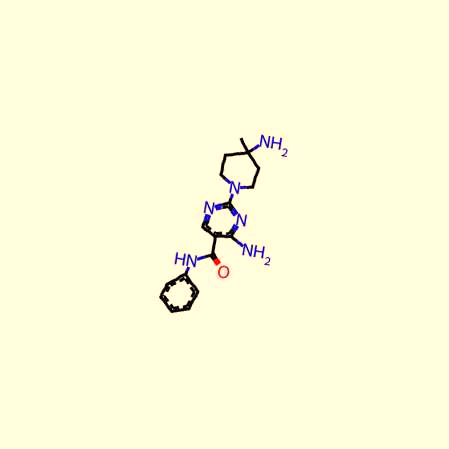 CC1(N)CCN(c2ncc(C(=O)Nc3ccccc3)c(N)n2)CC1